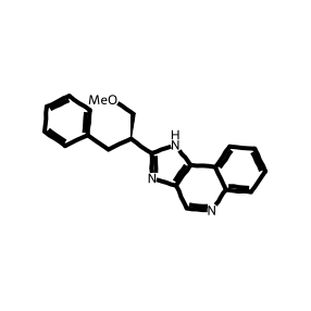 COC[C@H](Cc1ccccc1)c1nc2cnc3ccccc3c2[nH]1